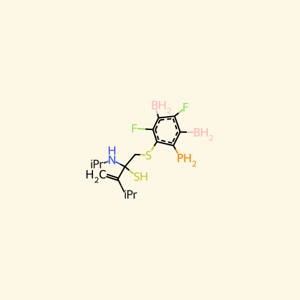 Bc1c(F)c(B)c(P)c(SCC(S)(NC(C)C)C(=C)C(C)C)c1F